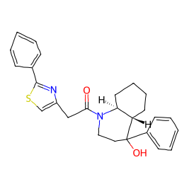 O=C(Cc1csc(-c2ccccc2)n1)N1CCC(O)(c2ccccc2)[C@H]2CCCC[C@@H]21